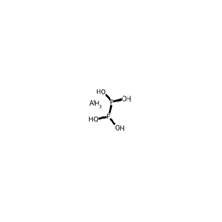 OP(O)P(O)O.[AlH3]